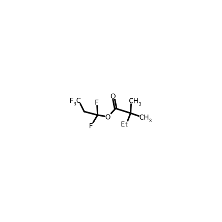 CCC(C)(C)C(=O)OC(F)(F)CC(F)(F)F